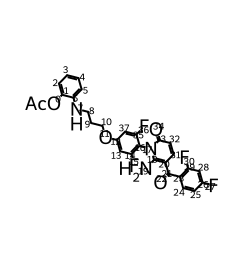 CC(=O)Oc1ccccc1NCCCOc1cc(F)c(-n2c(N)c(C(=O)c3ccc(F)cc3F)ccc2=O)c(F)c1